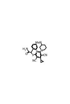 CNC1CCCN(c2nc(SC(C(N)=O)c3ccccc3)c(C#N)c(C3CC3)c2C#N)C1